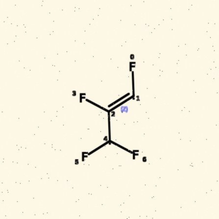 F/[C]=C(\F)[C](F)F